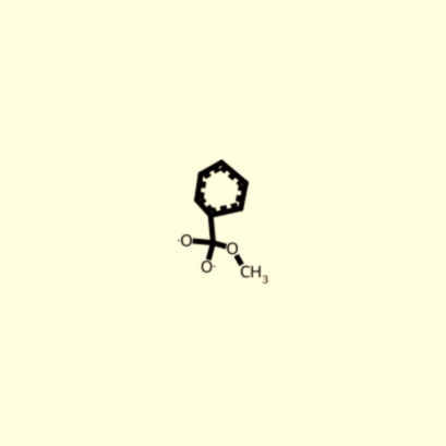 COC([O])([O])c1ccccc1